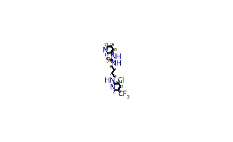 FC(F)(F)c1cnc(NCCCCNC(=S)Nc2cccnc2)c(Cl)c1